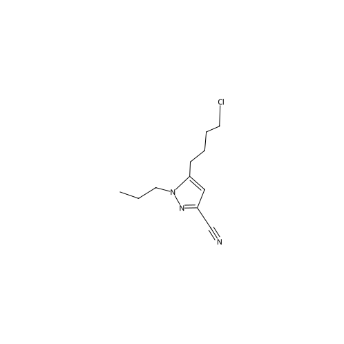 CCCn1nc(C#N)cc1CCCCCl